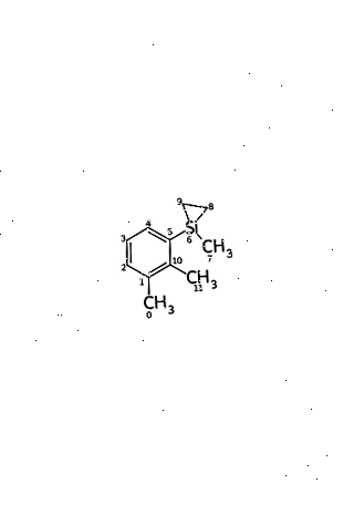 Cc1cccc([Si]2(C)CC2)c1C